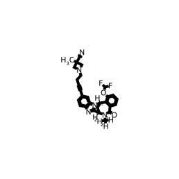 [2H]C([2H])([2H])N1C(=O)c2cccc(OC(F)F)c2[C@H]2C[C@@H]1c1nc3ccc(C#CCCN4CC(C)(C#N)C4)cc3n12